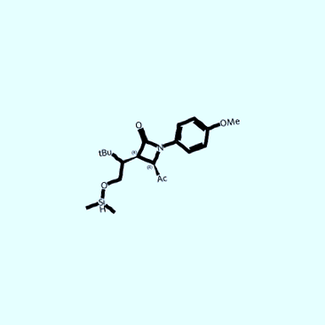 COc1ccc(N2C(=O)[C@H](C(CO[SiH](C)C)C(C)(C)C)[C@@H]2C(C)=O)cc1